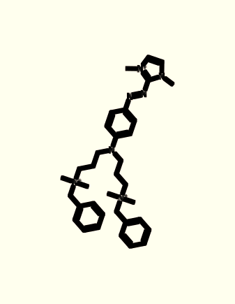 Cn1cc[n+](C)c1/N=N/c1ccc(N(CCC[N+](C)(C)Cc2ccccc2)CCC[N+](C)(C)Cc2ccccc2)cc1